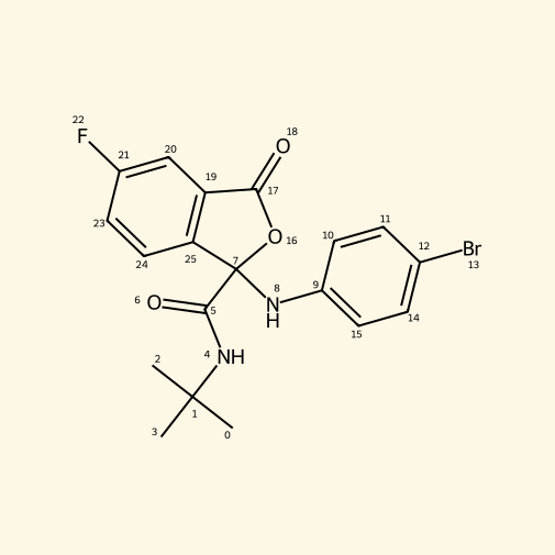 CC(C)(C)NC(=O)C1(Nc2ccc(Br)cc2)OC(=O)c2cc(F)ccc21